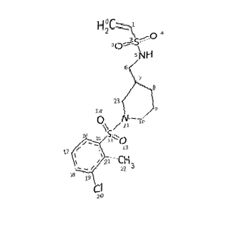 C=CS(=O)(=O)NCC1CCCN(S(=O)(=O)c2cccc(Cl)c2C)C1